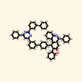 c1ccc(-c2cccc(-c3nc(-c4ccccc4)cc(-c4cccc(-c5ccc(-c6c7c(cc8c(-c9ccccc9)nc9ccccc9c68)oc6ccccc67)cc5)c4)n3)c2)cc1